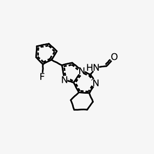 O=CNc1nc2c(c3nc(-c4ccccc4F)cn13)CCCC2